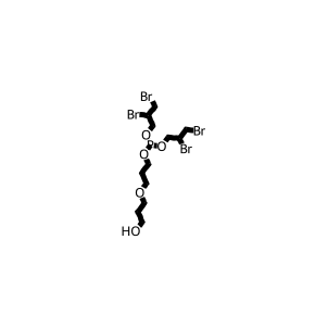 OCCCOCCCOP(OCC(Br)CBr)OCC(Br)CBr